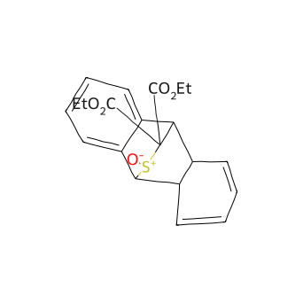 CCOC(=O)C1(C(=O)OCC)C2c3ccccc3C(C3C=CC=CC32)[S+]1[O-]